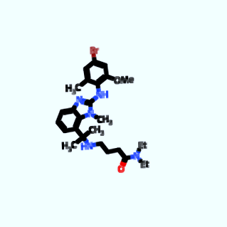 CCN(CC)C(=O)CCCNC(C)(C)c1cccc2nc(Nc3c(C)cc(Br)cc3OC)n(C)c12